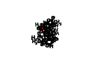 CC(=O)O[C@H]1[C@H]2[C@H]([C@@H]3[C@@H](O)[C@@H]4[C@@H]([C@@]3(C)[C@H]1OC(C)=O)[C@](C)(O)C=C1OC(=O)[C@@](C)(O)[C@@]14C)[C@@H](O)C(=O)[C@H]1C[C@@H]3O[C@@H]3[C@H](OC(C)=O)[C@]21C